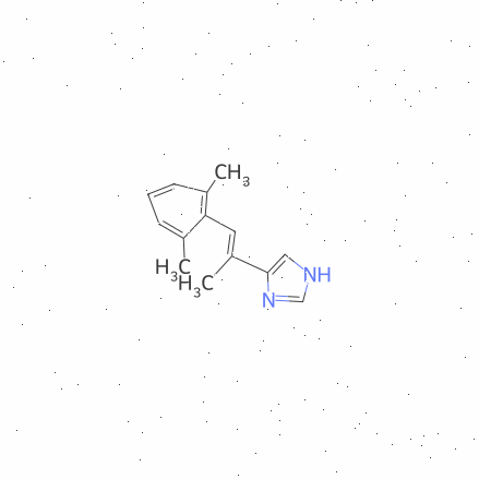 CC(=Cc1c(C)cccc1C)c1c[nH]cn1